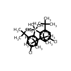 CC(C)(C)c1cc(Cl)cc(C(C)(C)C)c1P(O)(O)(O)c1c(C(C)(C)C)cc(Cl)cc1C(C)(C)C